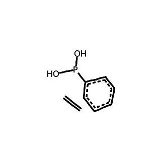 C=C.OP(O)c1ccccc1